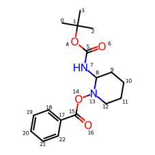 CC(C)(C)OC(=O)NC1CCCCN1OC(=O)c1ccccc1